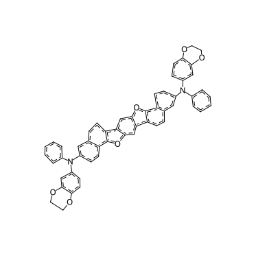 c1ccc(N(c2ccc3c(c2)OCCO3)c2ccc3c(ccc4c5cc6oc7c8ccc(N(c9ccccc9)c9ccc%10c(c9)OCCO%10)cc8ccc7c6cc5oc34)c2)cc1